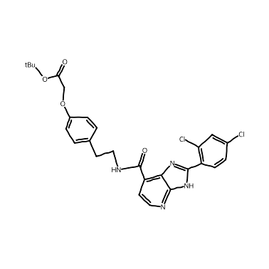 CC(C)(C)OC(=O)COc1ccc(CCNC(=O)c2ccnc3[nH]c(-c4ccc(Cl)cc4Cl)nc23)cc1